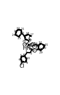 CC(CCc1ccc(Cl)cc1)(NS(=O)(=O)c1cccc(-c2ccccc2)c1)Oc1ccccc1Cl